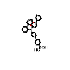 OB(O)c1ccc(-c2ccc(N(c3ccc(-c4ccccc4)cc3)c3ccccc3-c3ccccc3)cc2)cc1